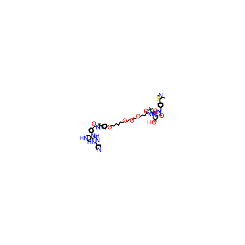 Cc1ncsc1-c1ccc(CNC(=O)[C@@H]2C[C@@H](O)CN2C(=O)[C@@H](NC(=O)CCCOCCOCCOCCCCCCOc2ccc([C@@H](C)NC(=O)c3cccc(NC4(c5nnc(-c6ccncc6)[nH]5)CCNCC4)c3)cc2)C(C)(C)C)cc1